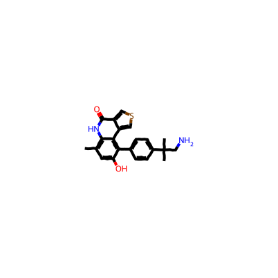 Cc1cc(O)c(-c2ccc(C(C)(C)CN)cc2)c2c1[nH]c(=O)c1cscc12